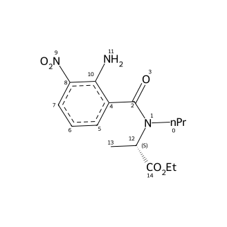 CCCN(C(=O)c1cccc([N+](=O)[O-])c1N)[C@@H](C)C(=O)OCC